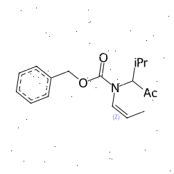 C/C=C\N(C(=O)OCc1ccccc1)C(C(C)=O)C(C)C